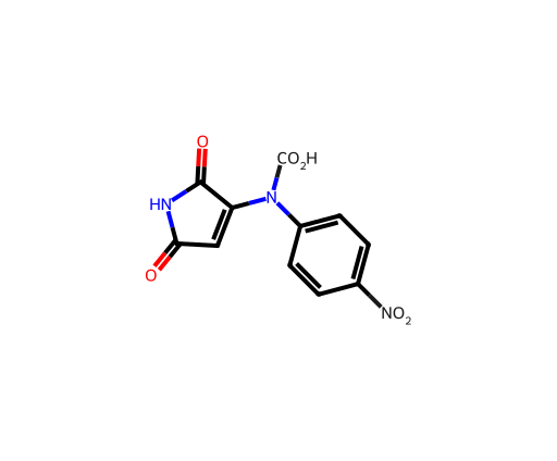 O=C1C=C(N(C(=O)O)c2ccc([N+](=O)[O-])cc2)C(=O)N1